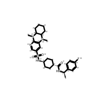 C[C@@H](NC(=O)[C@H]1CC[C@H](NS(=O)(=O)c2cnc3c(c2)N(C)C2CCCCC2N3C)CC1)c1ccc(F)cc1